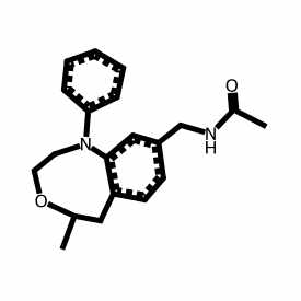 CC(=O)NCc1ccc2c(c1)N(c1ccccc1)CCOC(C)C2